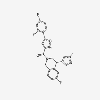 Cn1cc(C2CN(C(=O)c3cc(-c4ccc(F)cc4F)on3)Cc3ccc(F)cc32)cn1